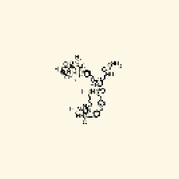 CCCCOc1nc(N)c2[nH]c(=O)n(Cc3ccc(CN4CCC(CCNC(=O)C(CCCCNC(=O)CON)NC(=O)OCc5ccc(NC(=O)C(C)NC(=O)C(NC(C)=O)C(C)C)cc5)CC4)cc3)c2n1